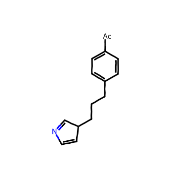 CC(=O)c1ccc(CCCC2C=CN=C2)cc1